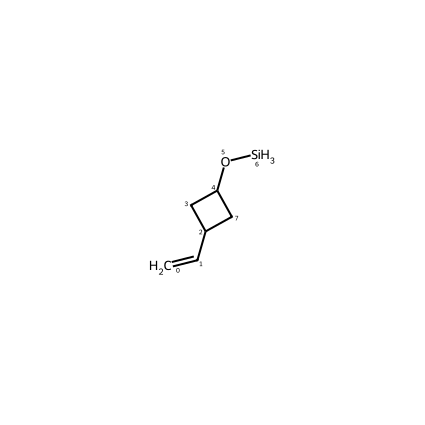 C=CC1CC(O[SiH3])C1